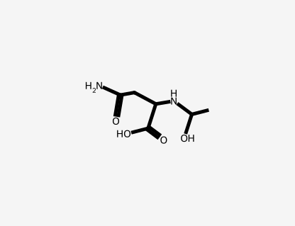 CC(O)NC(CC(N)=O)C(=O)O